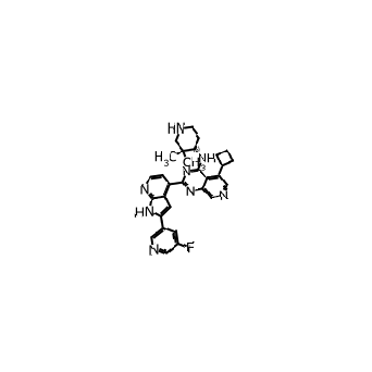 CC1(C)CNCC[C@@H]1Nc1nc(-c2ccnc3[nH]c(-c4cncc(F)c4)cc23)nc2cncc(C3CCC3)c12